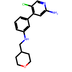 Nc1cc(-c2cccc(NCC3CCOCC3)c2)c(Cl)cn1